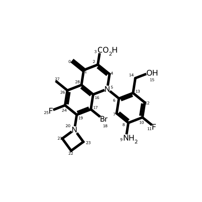 C=C1C(C(=O)O)=CN(c2cc(N)c(F)cc2CO)c2c(Br)c(N3CCC3)c(F)c(C)c21